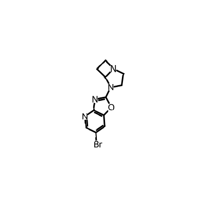 Brc1cnc2nc(N3CCN4CCC43)oc2c1